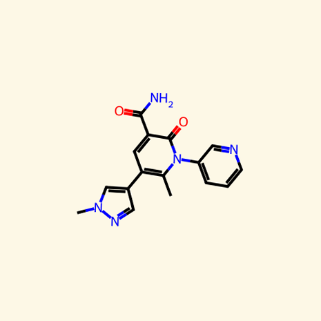 Cc1c(-c2cnn(C)c2)cc(C(N)=O)c(=O)n1-c1cccnc1